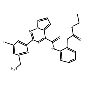 CCOC(=O)Cc1ccccc1NC(=O)c1nc(-c2cc(F)cc(CN)c2)nn2cccc12